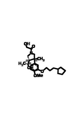 COc1ccc([C@@]2(C)CN(C(=O)CO)C[C@H]2[C@@H](C)O)cc1OCCCC1CCCC1